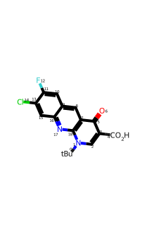 CC(C)(C)n1cc(C(=O)O)c(=O)c2cc3cc(F)c(Cl)cc3nc21